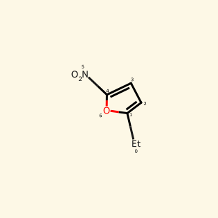 CCc1ccc([N+](=O)[O-])o1